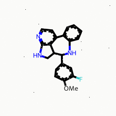 COc1ccc(C2Nc3ccccc3-c3ccnc4c3C2CN4)cc1F